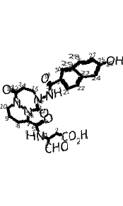 O=CC(CC(=O)O)NC(=O)C1CCCN2C(=O)CCN(NC(=O)c3ccc4cc(O)ccc4c3)C(=O)N12